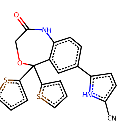 N#Cc1ccc(-c2ccc3c(c2)C(c2cccs2)(c2cccs2)OCC(=O)N3)[nH]1